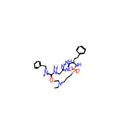 CCN(CC)CCCS(=O)(=O)N[C@H](CCc1ccccc1)c1nc(CNC(=O)N(C)Cc2ccccc2)n[nH]1